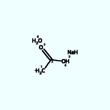 O.[CH2]C(=O)O.[NaH]